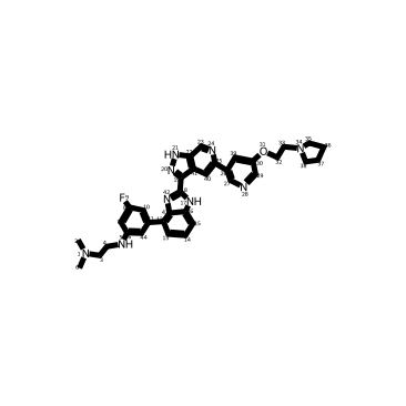 CN(C)CCNc1cc(F)cc(-c2cccc3[nH]c(-c4n[nH]c5cnc(-c6cncc(OCCN7CCCC7)c6)cc45)nc23)c1